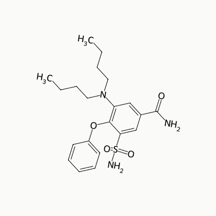 CCCCN(CCCC)c1cc(C(N)=O)cc(S(N)(=O)=O)c1Oc1ccccc1